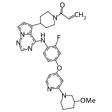 C=CC(=O)N1CCC(c2ccn3ncnc(Nc4ccc(Oc5ccnc(N6CCCC(OC)C6)c5)cc4F)c23)CC1